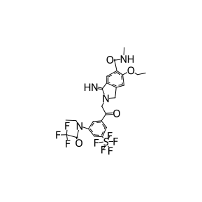 CCOc1cc2c(cc1C(=O)NC)C(=N)N(CC(=O)c1cc(N(CC)C(=O)C(F)(F)F)cc(S(F)(F)(F)(F)F)c1)C2